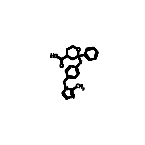 Cc1nccn1Cc1ccc(SC2(c3ccccc3)CC(C(=O)O)CCO2)cc1